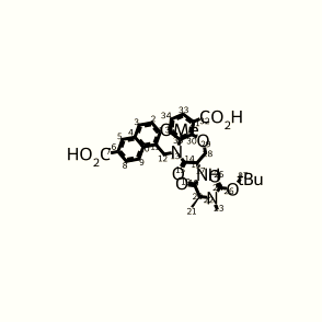 COc1ccc2cc(C(=O)O)ccc2c1CN1C(=O)[C@@H](NC(=O)[C@H](C)N(C)C(=O)OC(C)(C)C)COc2c(C(=O)O)cccc21